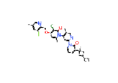 Cc1cnc(COc2cc(C)n(-c3cc(-n4cccc(C5(C)CC(C#N)C5)c4=O)ncc3C)c(=O)c2Cl)c(F)c1